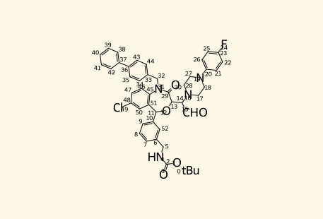 CC(C)(C)OC(=O)NCc1cccc(C2OC(C(C=O)N3CCN(c4ccc(F)cc4)CC3)C(=O)N(Cc3ccc(-c4ccccc4)cc3)c3ccc(Cl)cc32)c1